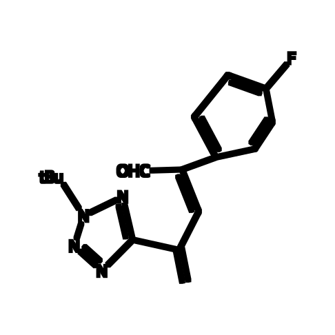 C=C(C=C(C=O)c1ccc(F)cc1)c1nnn(C(C)(C)C)n1